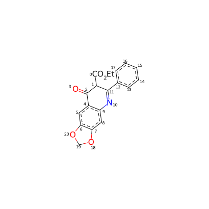 CCOC(=O)C1C(=O)c2cc3c(cc2N=C1c1ccccc1)OCO3